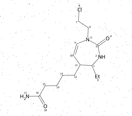 CCC1NC(=O)N(CCCl)C=CC1CCCCC(N)=O